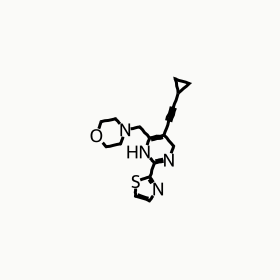 C(#CC1CC1)C1=C(CN2CCOCC2)NC(c2nccs2)=NC1